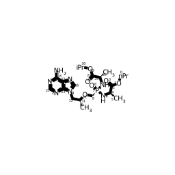 CCCOC(=O)[C@@H](C)N[P@](=O)(CO[C@H](C)Cn1cnc2c(N)ncnc21)N[C@@H](C)C(=O)OC(C)C